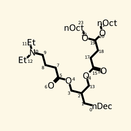 C[CH]CCCCCCCCCC(COC(=O)CCCN(CC)CC)COC(=O)CCC(OCCCCCCCC)OCCCCCCCC